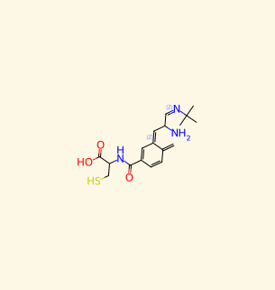 C=c1ccc(C(=O)NC(CS)C(=O)O)c/c1=C/C(N)/C=N\C(C)(C)C